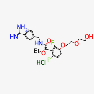 CCO[C@H](C(=O)NCc1ccc(C(=N)N)cc1)c1c(F)ccc(OCCOCCO)c1F.Cl